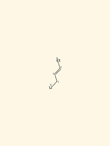 [Li][CH2]C=CCC